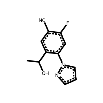 CC(O)c1cc(C#N)c(F)cc1-n1cccn1